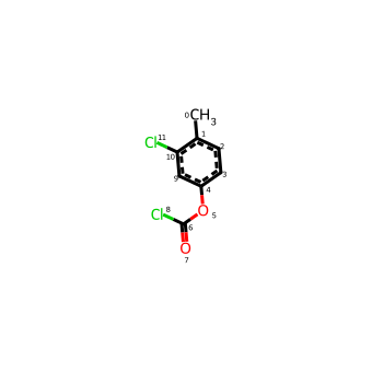 Cc1ccc(OC(=O)Cl)cc1Cl